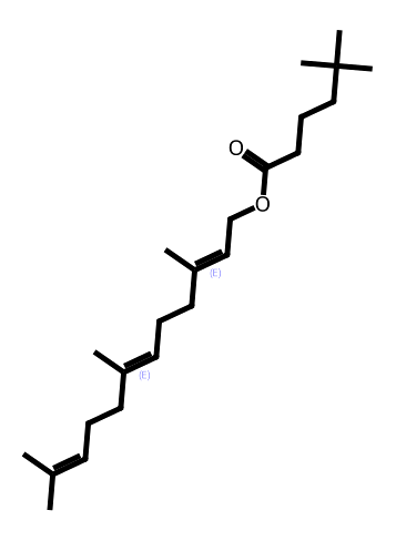 CC(C)=CCC/C(C)=C/CC/C(C)=C/COC(=O)CCCC(C)(C)C